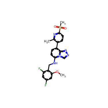 COc1cc(F)cc(F)c1CNc1ccc(-c2ccc(S(C)(=O)=O)nc2C)c2nncn12